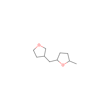 CC1CCC(CC2CCOC2)O1